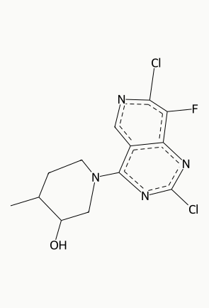 CC1CCN(c2nc(Cl)nc3c(F)c(Cl)ncc23)CC1O